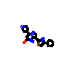 O=c1cc(C2CCNCC2)n2ncc(-c3nc(C4CCCCC4)cs3)c2[nH]1